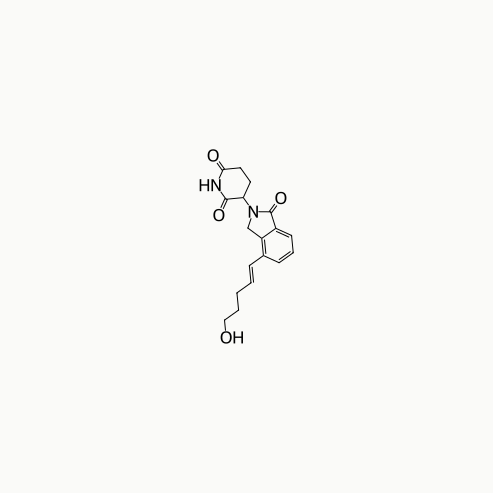 O=C1CCC(N2Cc3c(/C=C/CCCO)cccc3C2=O)C(=O)N1